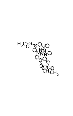 C=CC(=O)OCCOc1cccc(N(c2ccccc2)c2nc(N(c3ccccc3)c3cccc(OCCOC(=O)C=C)c3)nc(N(c3ccccc3)c3cccc(OCCOC(=O)C=C)c3)n2)c1